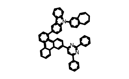 C1=CC2=c3cccc(-c4ccc5c(c4)c4ccccc4n5-c4ccc5c(c4)C=CCC=C5)c3=C3C=CC(c4cc(-c5ccccc5)nc(-c5ccccc5)n4)=CC3C2C=C1